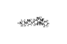 CN1CCN(c2ccc(-c3ccc4c(Nc5ccccc5F)ncnc4c3)cn2)CC1